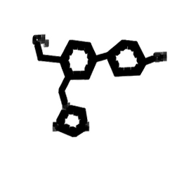 CCc1ccc(-c2ccc(O)cc2)cc1Cn1cncn1